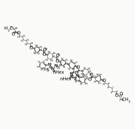 C=CC(=O)OCCCCCCOc1ccc(C(=O)OC2CCC(C(=O)Oc3ccc(-c4ccc(OC(=O)C5CCC(OC(=O)c6ccc(OCCCCCCOC(=O)C=C)cc6)CC5)c(/C=N/N(CCCCCC)c5nc6ccccc6s5)c4)cc3/C=N/N(CCCCCC)c3nc4ccccc4s3)CC2)cc1